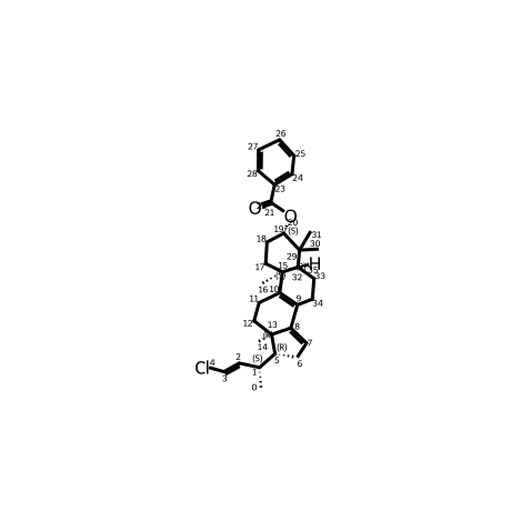 C[C@H](C=CCl)[C@H]1CC=C2C3=C(CC[C@@]21C)[C@@]1(C)CC[C@H](OC(=O)c2ccccc2)C(C)(C)[C@@H]1CC3